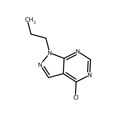 CCCn1ncc2c(Cl)ncnc21